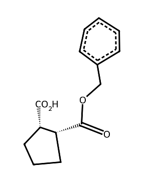 O=C(O)[C@H]1CCC[C@H]1C(=O)OCc1ccccc1